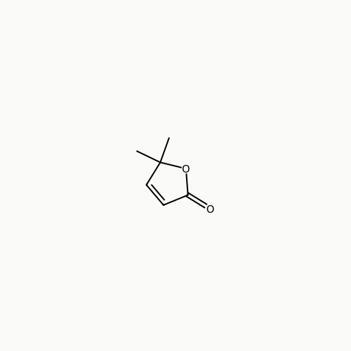 CC1(C)C=CC(=O)O1